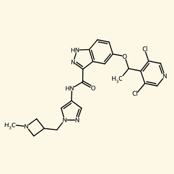 CC(Oc1ccc2[nH]nc(C(=O)Nc3cnn(CC4CN(C)C4)c3)c2c1)c1c(Cl)cncc1Cl